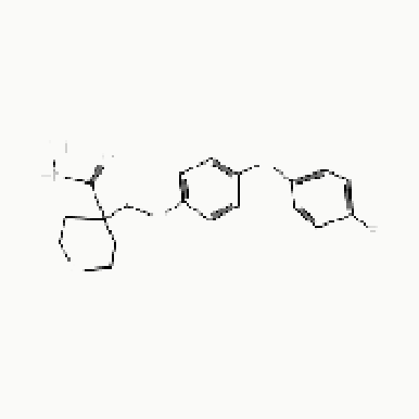 O=C(NO)C1(CSc2ccc(Oc3ccc(F)cc3)cc2)CCOCC1